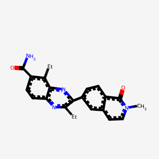 CCc1nc2ccc(C(N)=O)c(CC)c2nc1-c1ccc2c(=O)n(C)ccc2c1